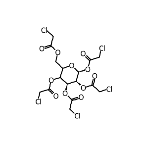 O=C(CCl)OCC1O[C@@H](OC(=O)CCl)[C@@H](OC(=O)CCl)[C@@H](OC(=O)CCl)C1OC(=O)CCl